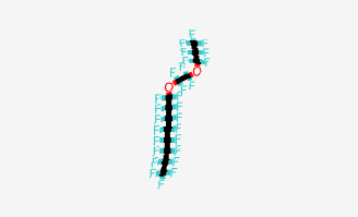 FC(F)(F)C(F)(F)C(F)(F)OC(F)(F)C(F)(F)OC(F)(F)C(F)(F)C(F)(F)C(F)(F)C(F)(F)C(F)(F)C(F)(F)C(F)(F)F